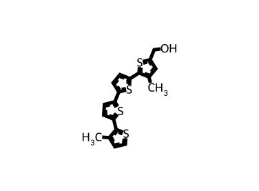 Cc1ccsc1-c1ccc(-c2ccc(-c3sc(CO)cc3C)s2)s1